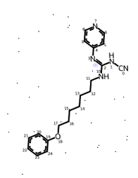 N#CN/C(=N\c1ccncc1)NCCCCCCCOc1ccccc1